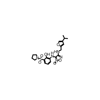 CC(C)c1coc(CNc2no[n+]([O-])c2Nc2cccc(S(=O)(=O)N3CCCC3)c2O)c1